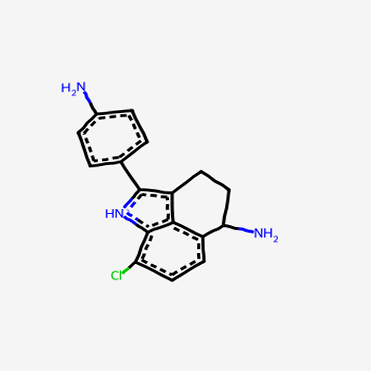 Nc1ccc(-c2[nH]c3c(Cl)ccc4c3c2CCC4N)cc1